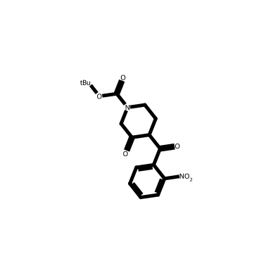 CC(C)(C)OC(=O)N1CCC(C(=O)c2ccccc2[N+](=O)[O-])C(=O)C1